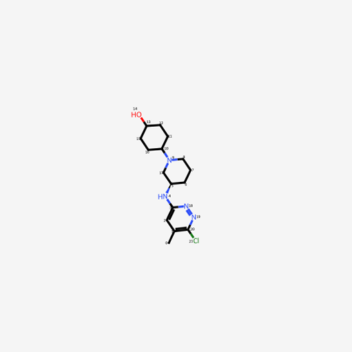 Cc1cc(N[C@@H]2CCCN(C3CCC(O)CC3)C2)nnc1Cl